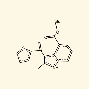 Cc1[nH]c2cccc(C(=O)OC(C)(C)C)c2c1C(=O)c1cccs1